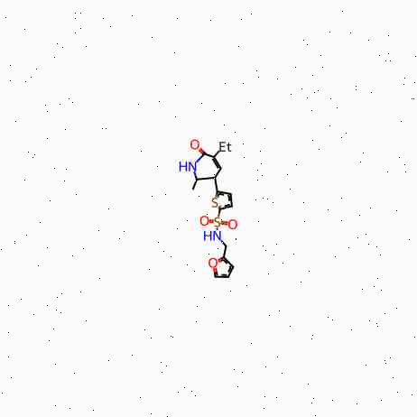 CCC1=CC(c2ccc(S(=O)(=O)NCc3ccco3)s2)C(C)NC1=O